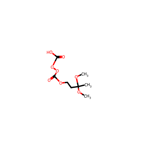 COC(C)(CCOC(=O)OOC(=O)O)OC